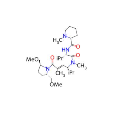 COC[C@@H]1CC[C@@H](COC)N1C(=O)/C(C)=C/[C@H](C(C)C)N(C)C(=O)[C@@H](NC(=O)C1CCCCN1C)C(C)C